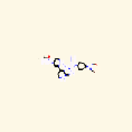 C=CC(=O)Nc1ccnc(-c2ccnc3cnc(Nc4ccc(N5CCOCC5)cc4)nc23)c1